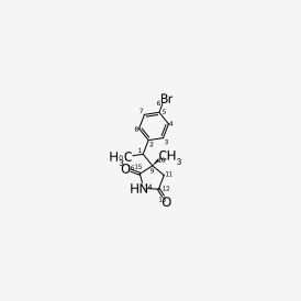 CC(c1ccc(Br)cc1)[C@]1(C)CC(=O)NC1=O